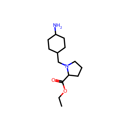 CCOC(=O)C1CCCN1CC1CCC(N)CC1